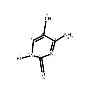 CCn1cc(C)c(N)nc1=O